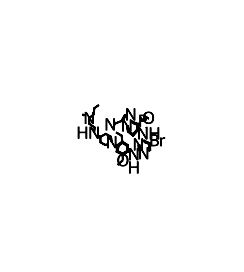 CCCN(C)CCNC1CCN(c2cc(OC)c(Nc3ncc(Br)c(Nc4ccn5c(C#N)cnc5c4P(C)(C)=O)n3)cc2CC)CC1